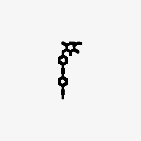 CC#Cc1ccc(C#Cc2ccc(CC(NC(=O)OC(C)(C)C)C(=O)OC)cc2)cc1